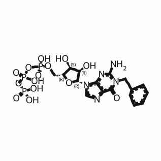 Nc1nc2c(ncn2[C@@H]2O[C@H](COP(=O)(O)OP(=O)(O)OP(=O)(O)O)[C@@H](O)[C@H]2O)c(=O)n1Cc1ccccc1